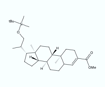 COC(=O)C1=CC2CC[C@H]3[C@@H]4CC[C@H](C(C)CO[Si](C)(C)C(C)(C)C)[C@@]4(C)CC[C@@H]3[C@@]2(C)CC1